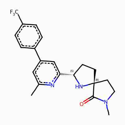 Cc1cc(-c2ccc(C(F)(F)F)cc2)cc([C@@H]2CC[C@]3(CCN(C)C3=O)N2)n1